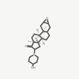 C[C@]12CC3OC3CC1CC[C@@H]1[C@H]2CC[C@]2(C)C(=O)C(N3CCC(O)CC3)C[C@@H]12